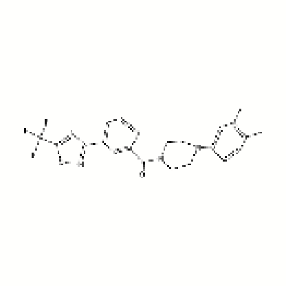 Cc1ccc(N2CCN(C(=O)c3cccc(-c4noc(C(F)(F)F)n4)c3)CC2)cc1C